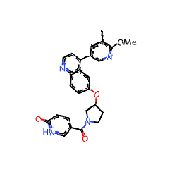 COc1ncc(-c2ccnc3ccc(O[C@H]4CCN(C(=O)c5ccc(=O)[nH]c5)C4)cc23)cc1C